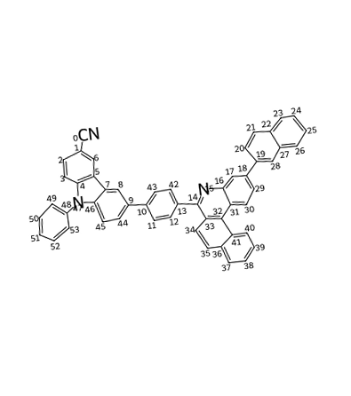 N#Cc1ccc2c(c1)c1cc(-c3ccc(-c4nc5cc(-c6ccc7ccccc7c6)ccc5c5c4ccc4ccccc45)cc3)ccc1n2-c1ccccc1